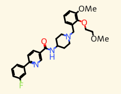 COCCOc1c(CN2CCC(NC(=O)c3ccc(-c4cccc(F)c4)nc3)CC2)cccc1OC